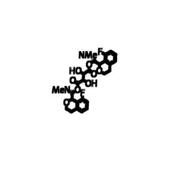 CN[C@H](OC(=O)C(O)C(O)C(=O)O[C@@H](NC)C1OCCc2cccc(F)c21)C1OCCc2cccc(F)c21